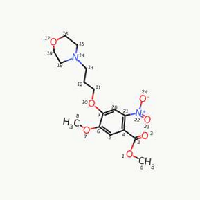 COC(=O)c1cc(OC)c(OCCCN2CCOCC2)cc1[N+](=O)[O-]